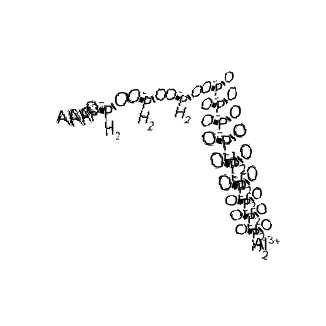 O=P[O-].O=P[O-].O=P[O-].O=[PH2][O-].O=[PH2][O-].O=[PH2][O-].O=[PH2][O-].O=[PH2][O-].O=[PH2][O-].O=[PH2][O-].O=[PH2][O-].O=[PH2][O-].[Al+3].[Al+3].[Al+3].[Al+3]